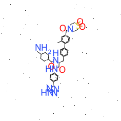 Cc1cc(C(=O)N2CCS(=O)(=O)CC2)ccc1-c1ccc(C[C@H](NC(=O)C2CCC(CN)CC2)C(=O)Nc2ccc(-c3nn[nH]n3)cc2)cc1